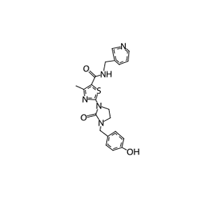 Cc1nc(N2CCN(Cc3ccc(O)cc3)C2=O)sc1C(=O)NCc1cccnc1